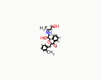 Cc1ccccc1CC(OCC(O)CNC(C)CCO)C(=O)c1ccccc1